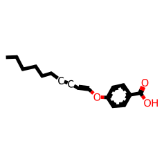 CCCCCCCCC=COc1ccc(C(=O)O)cc1